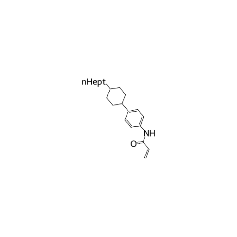 C=CC(=O)Nc1ccc(C2CCC(CCCCCCC)CC2)cc1